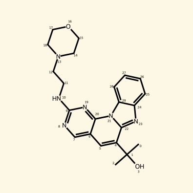 CC(C)(O)c1cc2cnc(NCCN3CCOCC3)nc2n2c1nc1ccccc12